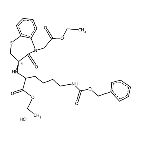 CCOC(=O)CN1C(=O)[C@@H](NC(CCCCNC(=O)OCc2ccccc2)C(=O)OCC)CSc2ccccc21.Cl